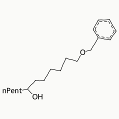 CCCCCC(O)CCCCCCOCc1ccccc1